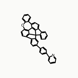 c1ccc(-c2ccc(-c3ccc4c(c3)C35c6ccccc6-c6ccc7c(c63)-c3c(ccc-4c35)Oc3ccccc3-7)cc2)nc1